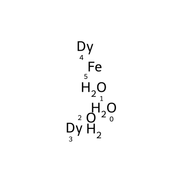 O.O.O.[Dy].[Dy].[Fe]